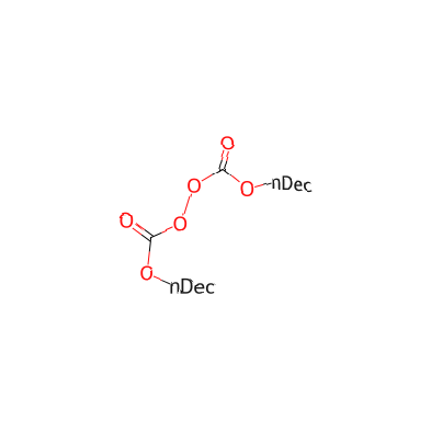 CCCCCCCCCCOC(=O)OOC(=O)OCCCCCCCCCC